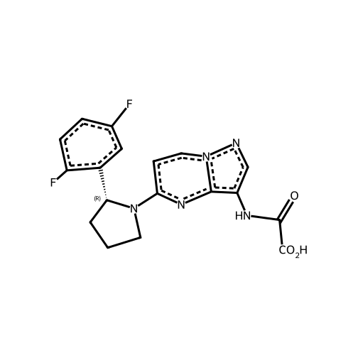 O=C(O)C(=O)Nc1cnn2ccc(N3CCC[C@@H]3c3cc(F)ccc3F)nc12